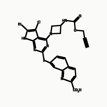 C#CCOC(=O)NC1CN(c2nc(Sc3ccc4ccc(C(=O)O)nc4c3)nc3[nH]c(CC)c(Cl)c23)C1